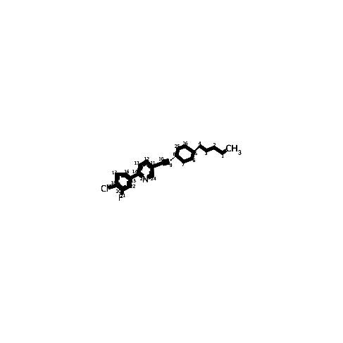 CCCCC[C@H]1CC[C@H](C#Cc2ccc(-c3ccc(Cl)c(F)c3)nc2)CC1